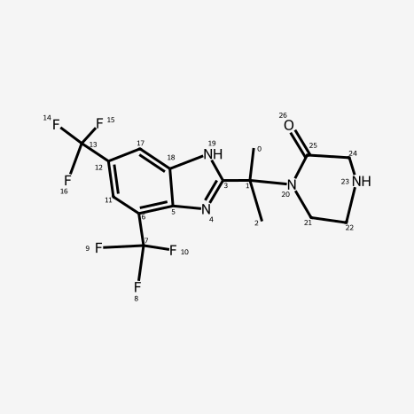 CC(C)(c1nc2c(C(F)(F)F)cc(C(F)(F)F)cc2[nH]1)N1CCNCC1=O